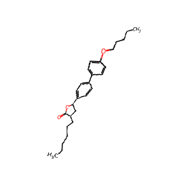 CCCCCCC1CC(c2ccc(-c3ccc(OCCCCC)cc3)cc2)OC1=O